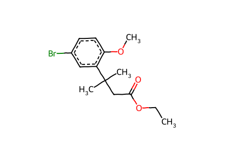 CCOC(=O)CC(C)(C)c1cc(Br)ccc1OC